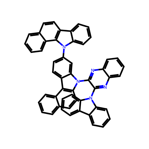 c1ccc2c(c1)ccc1c2c2ccc(-n3c4ccccc4c4ccc5ccccc5c43)cc2n1-c1nc2ccccc2nc1-n1c2ccccc2c2ccccc21